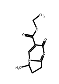 CCOC(=O)c1cn2c(nc1=O)CCC2C